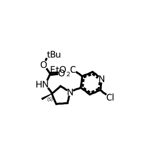 CCOC(=O)c1cnc(Cl)cc1N1CC[C@](C)(NC(=O)OC(C)(C)C)C1